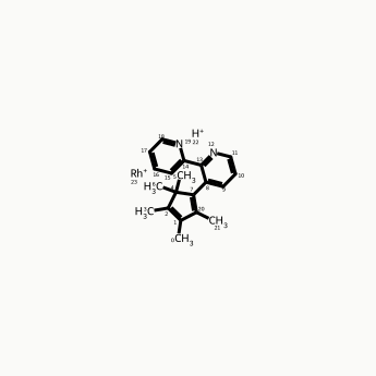 CC1=C(C)C(C)(C)C(c2cccnc2-c2ccccn2)=C1C.[H+].[Rh+]